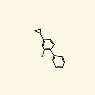 Brc1[c]c(C2CC2)ccc1-c1ccccc1